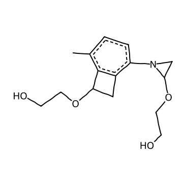 Cc1ccc(N2CC2OCCO)c2c1C(OCCO)C2